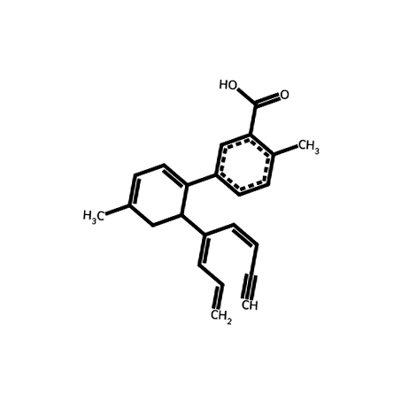 C#C/C=C\C(=C/C=C)C1CC(C)=CC=C1c1ccc(C)c(C(=O)O)c1